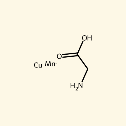 NCC(=O)O.[Cu].[Mn]